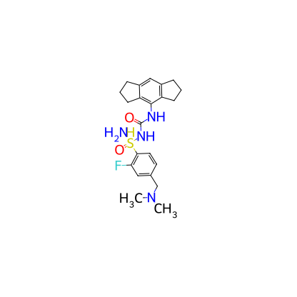 CN(C)Cc1ccc([SH](N)(=O)NC(=O)Nc2c3c(cc4c2CCC4)CCC3)c(F)c1